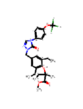 CCc1cc(Cn2ncn(-c3ccc(OC(F)(F)F)cc3)c2=O)cc(CC)c1OC(C)(CC)C(=O)OC